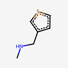 CNCc1c[c]sc1